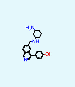 NC1CCCC(NCc2ccc3cncc(-c4ccc(O)cc4)c3c2)C1